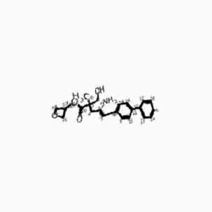 C[C@@](CO)(C[C@H](N)Cc1ccc(-c2ccccc2)cc1)C(=O)OC1COC1